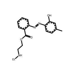 CCNCCOC(=O)c1ccccc1/N=N/c1ccc(C)cc1O